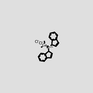 [CH3][Ge]([CH3])=[Zr+2]([CH]1C=Cc2ccccc21)[CH]1C=Cc2ccccc21.[Cl-].[Cl-]